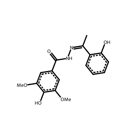 COc1cc(C(=O)NN=C(C)c2ccccc2O)cc(OC)c1O